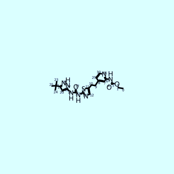 CCOC(=O)Nc1cc(CCc2cnc(NC(=O)Nc3cc(C(C)(C)C)n[nH]3)s2)ccn1